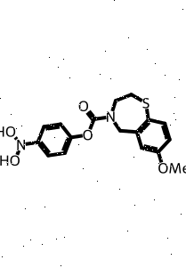 COc1ccc2c(c1)CN(C(=O)Oc1ccc(N(O)O)cc1)CCS2